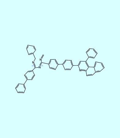 C=N/C(=N\C(=N/Cc1ccccc1)c1ccc(-c2ccccc2)cc1)c1ccc(-c2ccc(-c3cc(-c4ccccc4)c4c(ccc5ccccc54)n3)cc2)cc1